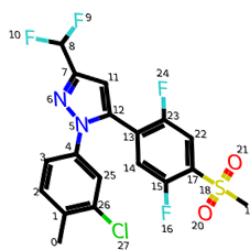 Cc1ccc(-n2nc(C(F)F)cc2-c2cc(F)c(S(C)(=O)=O)cc2F)cc1Cl